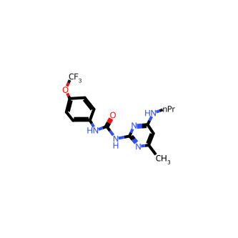 CCCNc1cc(C)nc(NC(=O)Nc2ccc(OC(F)(F)F)cc2)n1